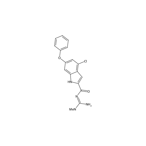 CNC(N)=NC(=O)c1cc2c(Cl)cc(Oc3ccccc3)cc2[nH]1